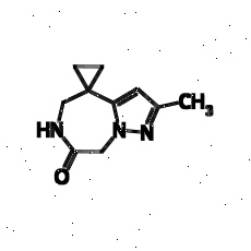 Cc1cc2n(n1)CC(=O)NCC21CC1